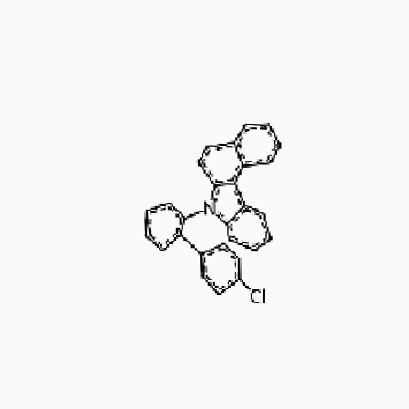 Clc1ccc(-c2ccccc2-n2c3ccccc3c3c4ccccc4ccc32)cc1